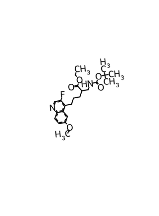 CCOC(=O)C(CCCc1c(F)cnc2ccc(OC)cc12)CNC(=O)OC(C)(C)C